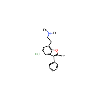 CCc1oc2c(CCN(CC)CC)cccc2c1-c1ccccc1.Cl